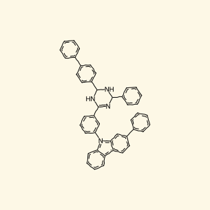 c1ccc(-c2ccc(C3NC(c4cccc(-n5c6ccccc6c6ccc(-c7ccccc7)cc65)c4)=NC(c4ccccc4)N3)cc2)cc1